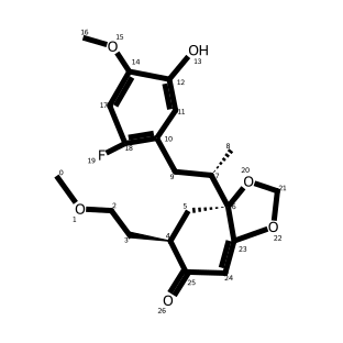 COCC[C@H]1C[C@]2([C@@H](C)Cc3cc(O)c(OC)cc3F)OCOC2=CC1=O